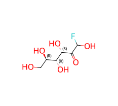 O=C(C(O)F)[C@@H](O)[C@H](O)[C@H](O)CO